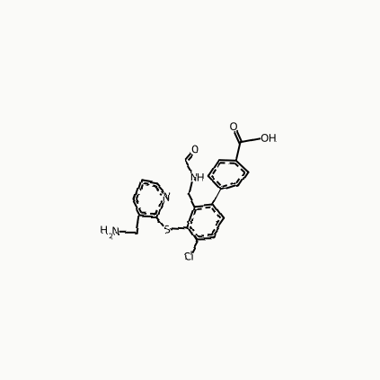 NCc1cccnc1Sc1c(Cl)ccc(-c2ccc(C(=O)O)cc2)c1CNC=O